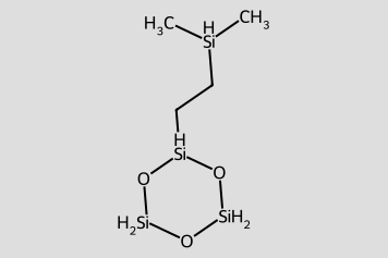 C[SiH](C)CC[SiH]1O[SiH2]O[SiH2]O1